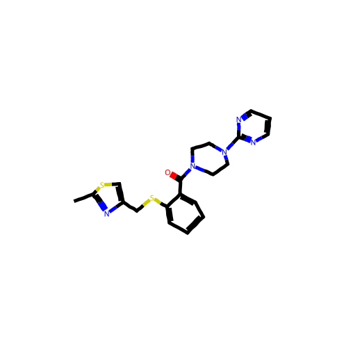 Cc1nc(CSc2ccccc2C(=O)N2CCN(c3ncccn3)CC2)cs1